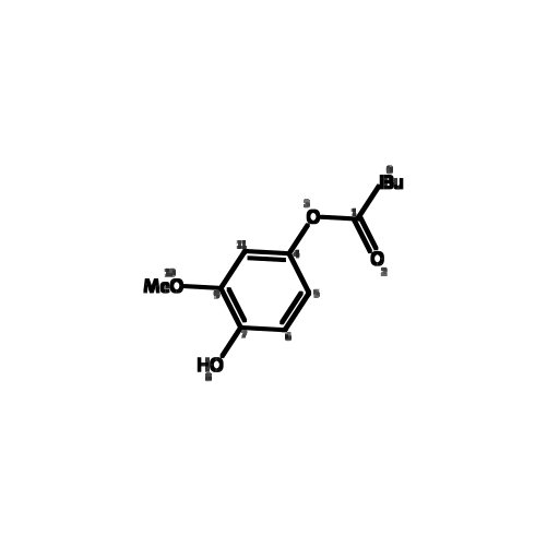 CCC(C)C(=O)Oc1ccc(O)c(OC)c1